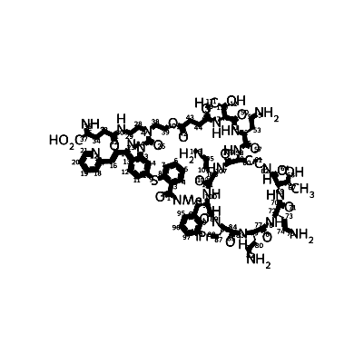 CNC(=O)c1ccccc1Sc1ccc2c(/C=C/c3ccccn3)nn(C(=O)N(CCNC(=O)CC[C@H](N)C(=O)O)CCOC(=O)CCC(=O)N[C@H](C(=O)N[C@@H](CCN)C(=O)N[C@H]3CCNC(=O)[C@H]([C@@H](C)O)NC(=O)[C@H](CCN)NC(=O)[C@H](CCN)NC(=O)[C@H](CC(C)C)NC(=O)[C@@H](Cc4ccccc4)NC(=O)[C@H](CCN)NC3=O)[C@@H](C)O)c2c1